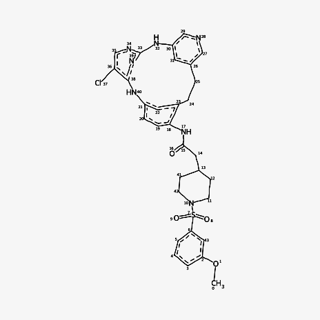 COc1cccc(S(=O)(=O)N2CCC(CC(=O)Nc3ccc4cc3CCc3cncc(c3)Nc3ncc(Cl)c(n3)N4)CC2)c1